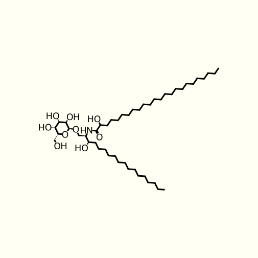 CCCCCCCCCCCCCCCCCCCCCCC(O)C(=O)N[C@H](CO[C@H]1O[C@H](CO)[C@H](O)[C@H](O)[C@H]1O)[C@H](O)CCCCCCCCCCCCCCC